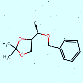 C[C@@H](OCc1ccccc1)[C@H]1COC(C)(C)O1